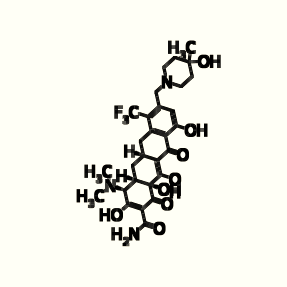 CN(C)[C@@H]1C(O)=C(C(N)=O)C(=O)[C@@]2(O)C(O)=C3C(=O)c4c(O)cc(CN5CCC(C)(O)CC5)c(C(F)(F)F)c4C[C@H]3C[C@@H]12